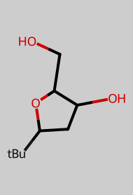 CC(C)(C)C1CC(O)C(CO)O1